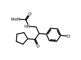 CNC(=O)NCC(C(=O)C1CCCC1)c1ccc(Cl)cc1